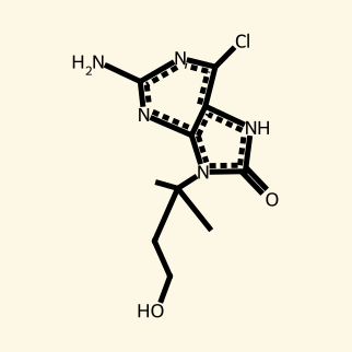 CC(C)(CCO)n1c(=O)[nH]c2c(Cl)nc(N)nc21